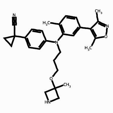 Cc1ccc(-c2c(C)noc2C)cc1N(CCCOC1(C)CNC1)c1ccc(C2(C#N)CC2)cc1